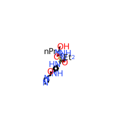 CCCN(CCO)C(=O)/C(N)=C1\S[C@H](CNc2ccc(NC(=O)CCN3CCN(C)CC3)cc2)C(=O)N1CC